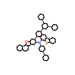 c1ccc(-c2ccc(N(c3cc4c(cc3-c3ccc(-c5cc(-c6ccccc6)cc(-c6ccccc6)c5)cc3)oc3c5ccccc5ccc43)c3cccc4c3sc3ccccc34)cc2)cc1